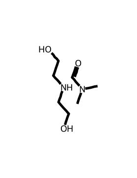 CN(C)C=O.OCCNCCO